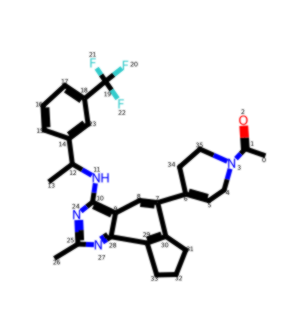 CC(=O)N1CC=C(c2cc3c(NC(C)c4cccc(C(F)(F)F)c4)nc(C)nc3c3c2CCC3)CC1